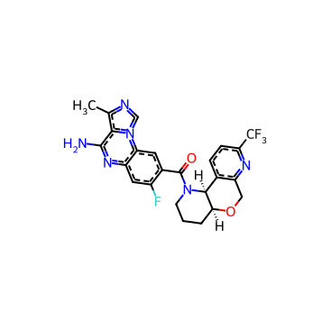 Cc1ncn2c1c(N)nc1cc(F)c(C(=O)N3CCC[C@@H]4OCc5nc(C(F)(F)F)ccc5[C@@H]43)cc12